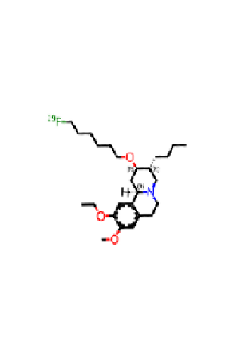 CCCC[C@@H]1CN2CCc3cc(OC)c(OCC)cc3[C@H]2C[C@H]1OCCCCCC[19F]